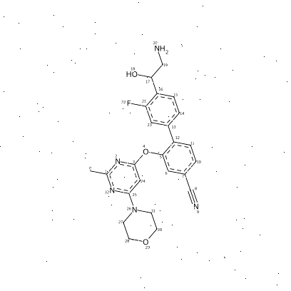 Cc1nc(Oc2cc(C#N)ccc2-c2ccc(C(O)CN)c(F)c2)cc(N2CCOCC2)n1